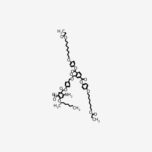 C=CC(=O)OCCCCCCCCOc1ccc(OC(=O)c2ccc(C(=O)Oc3ccc(OCCCCCCCCOC(=O)C=C)cc3)c(C(=O)OCc3ccc(OC(=O)c4cc([N+](=O)[O-])c(O[C@@H](C)CCCCCC)cc4N)cc3)c2)cc1